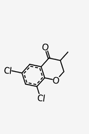 CC1COc2c(Cl)cc(Cl)cc2C1=O